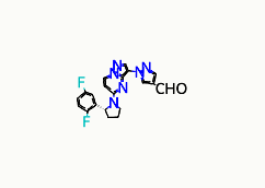 O=Cc1cnn(-c2cnn3ccc(N4CCC[C@@H]4c4cc(F)ccc4F)nc23)c1